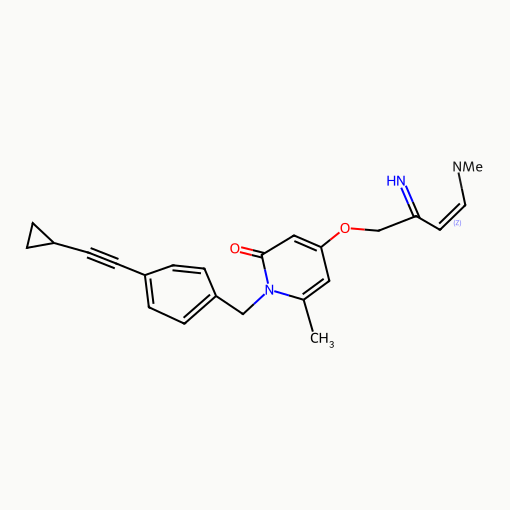 CN/C=C\C(=N)COc1cc(C)n(Cc2ccc(C#CC3CC3)cc2)c(=O)c1